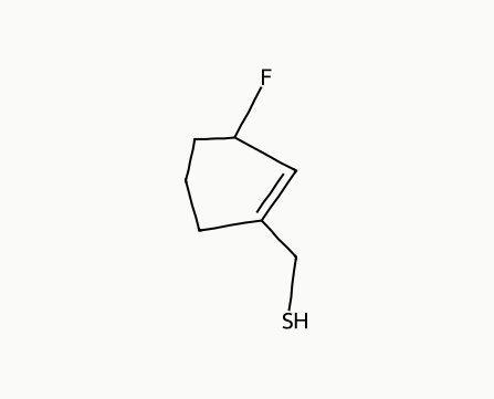 FC1C=C(CS)CCC1